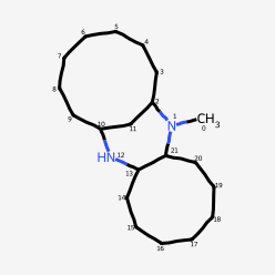 CN1C2CCCCCCCC(C2)NC2CCCCCCCC21